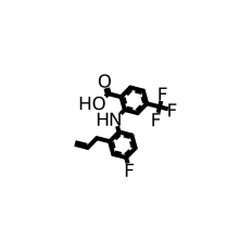 C=CCc1cc(F)ccc1Nc1cc(C(F)(F)F)ccc1C(=O)O